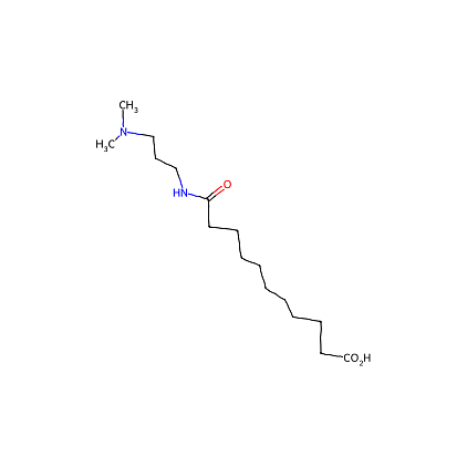 CN(C)CCCNC(=O)CCCCCCCCCC(=O)O